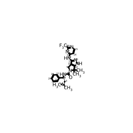 CN(C)C[C@@H](NC(=O)N1Cc2c(Nc3ccnc(C(F)(F)F)n3)n[nH]c2C1(C)C)c1ccccc1